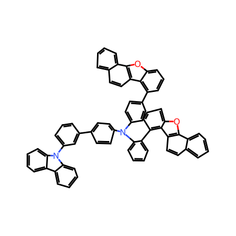 c1cc(-c2ccc(N(c3ccc(-c4cccc5oc6c7ccccc7ccc6c45)cc3)c3ccccc3-c3cccc4oc5c6ccccc6ccc5c34)cc2)cc(-n2c3ccccc3c3ccccc32)c1